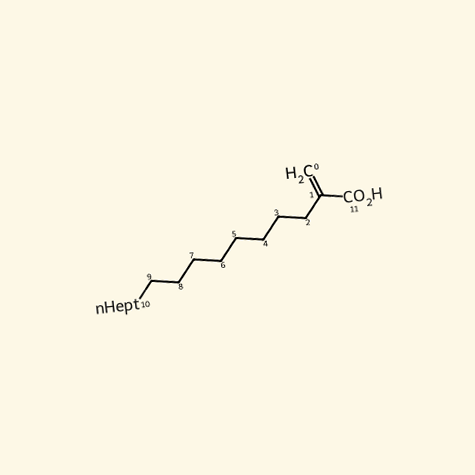 C=C(CCCCCCCCCCCCCCC)C(=O)O